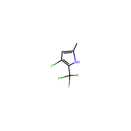 Cc1cc(F)c(C(F)(F)F)[nH]1